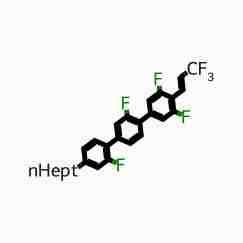 CCCCCCCc1ccc(-c2ccc(-c3cc(F)c(/C=C/C(F)(F)F)c(F)c3)c(F)c2)c(F)c1